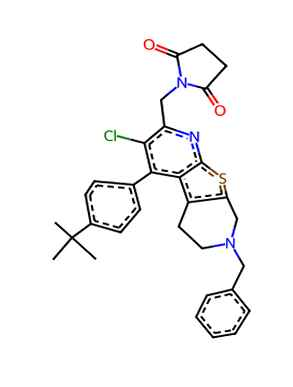 CC(C)(C)c1ccc(-c2c(Cl)c(CN3C(=O)CCC3=O)nc3sc4c(c23)CCN(Cc2ccccc2)C4)cc1